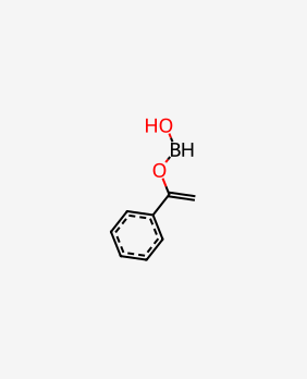 C=C(OBO)c1ccccc1